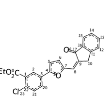 CCOC(=O)c1cc(-c2ccc(C=C3Cc4ccccc4C3=O)o2)ccc1Cl